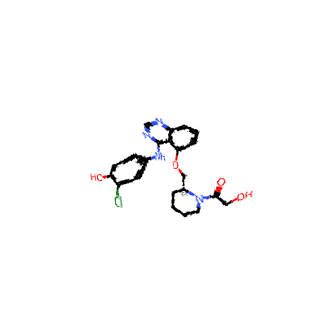 O=C(CO)N1CCCC[C@H]1COc1cccc2ncnc(Nc3ccc(O)c(Cl)c3)c12